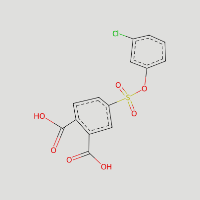 O=C(O)c1ccc(S(=O)(=O)Oc2cccc(Cl)c2)cc1C(=O)O